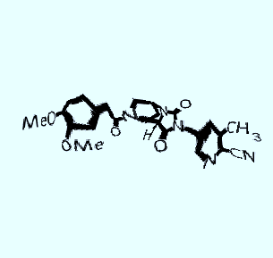 COc1ccc(CC(=O)N2CC3CC2[C@H]2C(=O)N(c4cnc(C#N)c(C)c4)C(=O)N32)cc1OC